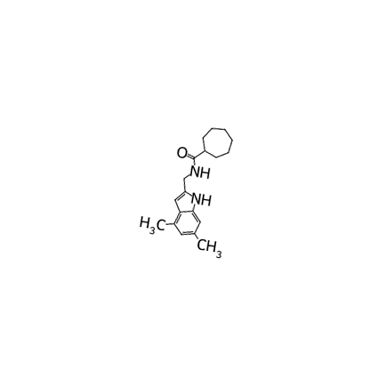 Cc1cc(C)c2cc(CNC(=O)C3CCCCCC3)[nH]c2c1